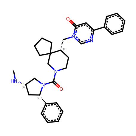 CN[C@H]1C[C@@H](c2ccccc2)N(C(=O)N2CC[C@@H](Cn3cnc(-c4ccccc4)cc3=O)C3(CCCC3)C2)C1